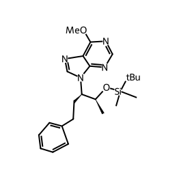 COc1ncnc2c1ncn2[C@H](CCc1ccccc1)[C@H](C)O[Si](C)(C)C(C)(C)C